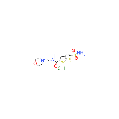 Cl.NS(=O)(=O)c1cc2cc(C(=O)NCCN3CCOCC3)sc2s1